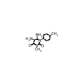 Cc1ccc(-n2c(N)c(N)c(=O)n(C)c2=O)cc1